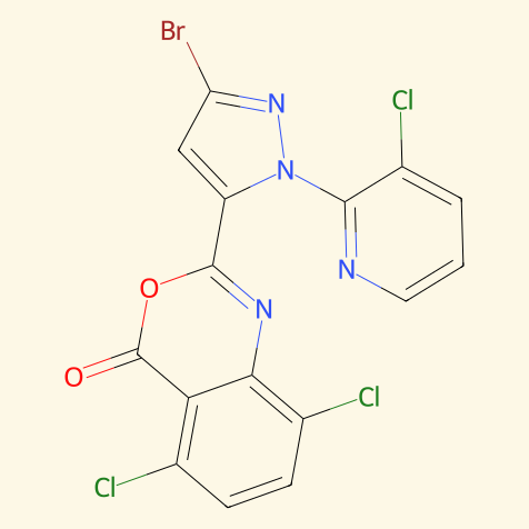 O=c1oc(-c2cc(Br)nn2-c2ncccc2Cl)nc2c(Cl)ccc(Cl)c12